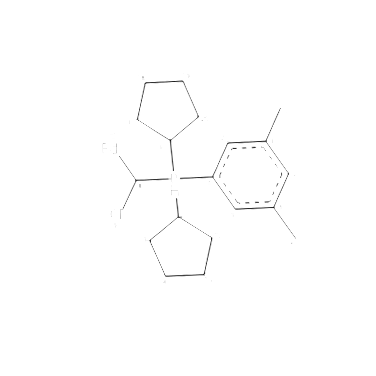 Cc1cc(C)cc([PH]([CH](Cl)[Pd])(C2CCCC2)C2CCCC2)c1